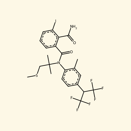 CSCC(C)(C)N(C(=O)c1cccc(I)c1C(N)=O)c1ccc(C(C(F)(F)F)C(F)(F)F)cc1C